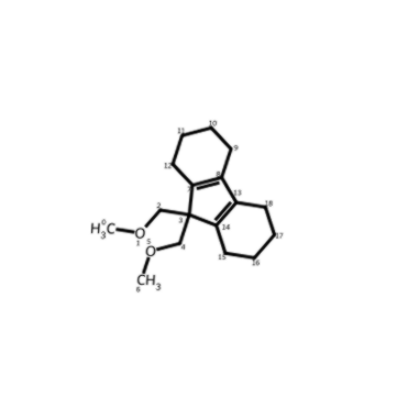 COCC1(COC)C2=C(CCCC2)C2=C1CCCC2